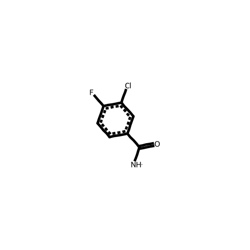 [NH]C(=O)c1ccc(F)c(Cl)c1